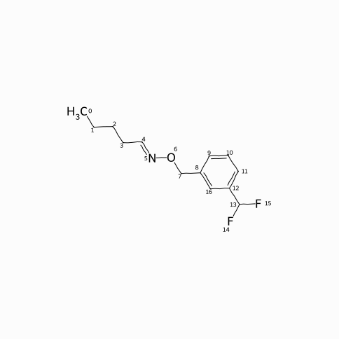 CCCCC=NOCc1cccc(C(F)F)c1